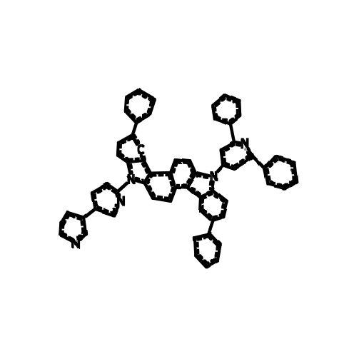 c1ccc(-c2ccc3c(c2)c2c4ccc5c(c4ccc2n3-c2cc(-c3ccccc3)nc(-c3ccccc3)c2)c2cc(-c3ccccc3)ccc2n5-c2ccc(-c3cccnc3)cn2)cc1